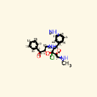 CNCC(=O)C1(Cl)OC(C(=O)c2ccccc2)CNC1Cc1ccccc1.N